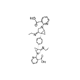 CCN=C1CN(c2ncccc2C(=O)O)C2C[C@@]12c1ccc([C@@]23CC2N(c2ncccc2C(=O)O)CC3=NCC)cc1